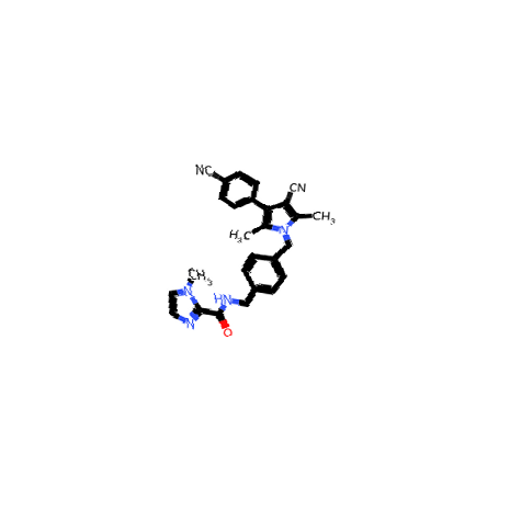 Cc1c(C#N)c(-c2ccc(C#N)cc2)c(C)n1Cc1ccc(CNC(=O)c2nccn2C)cc1